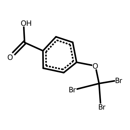 O=C(O)c1ccc(OC(Br)(Br)Br)cc1